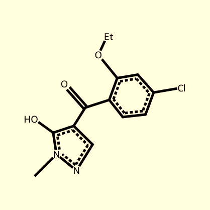 CCOc1cc(Cl)ccc1C(=O)c1cnn(C)c1O